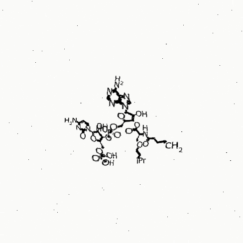 C=CCCC(=O)N[C@@H](COCCC(C)C)C(=O)O[C@H]1[C@@H](O)[C@H](n2cnc3c(N)ncnc32)O[C@@H]1COP(=O)(O)O[C@H]1[C@@H](O)[C@H](n2ccc(N)nc2=O)O[C@@H]1COP(=O)(O)O